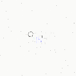 CCCN1NC(Cc2ccc(Br)cc2F)C(C(=O)OCC)=C1C(C)C